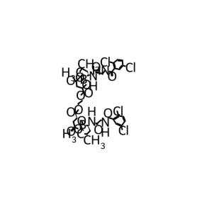 CC(C)C[C@H](NC(=O)CNC(=O)c1cc(Cl)ccc1Cl)B1OC(=O)CC(C(=O)OCCOC(=O)[C@@H]2CC(=O)OB([C@H](CC(C)C)NC(=O)CNC(=O)c3cc(Cl)ccc3Cl)O2)O1